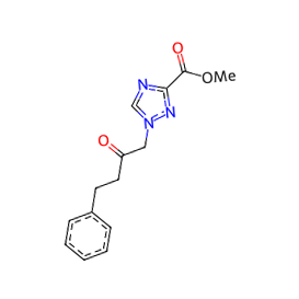 COC(=O)c1ncn(CC(=O)CCc2ccccc2)n1